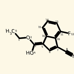 CCOC(O)=C1C=C(C#N)c2c(F)cccc21